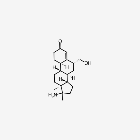 C[C@]1(N)CC[C@H]2[C@@H]3C[C@@H](CO)C4=CC(=O)CC[C@@H]4[C@H]3CC[C@@]21C